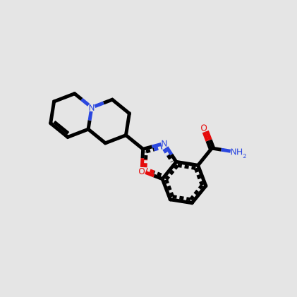 NC(=O)c1cccc2oc(C3CCN4CCC=CC4C3)nc12